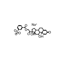 CC12C=CC(=O)C=C1CCC1C2C(O)CC2(C)C1CCC2(O)C(=O)COC(=O)c1cccc(S(=O)(=O)[O-])c1.[Na+]